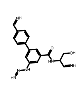 N=Cc1ccc(-c2cc(NN=N)cc(C(=O)NC(C=N)CO)c2)cc1